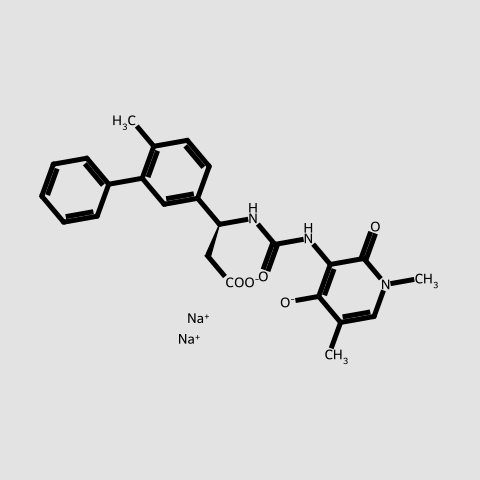 Cc1ccc([C@H](CC(=O)[O-])NC(=O)Nc2c([O-])c(C)cn(C)c2=O)cc1-c1ccccc1.[Na+].[Na+]